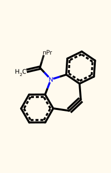 C=C(CCC)N1c2ccccc2C#Cc2ccccc21